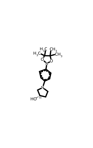 CC1(C)OB(c2ccc(N3CC[C@H](O)C3)cc2)OC1(C)C